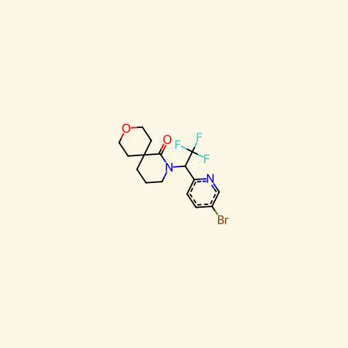 O=C1N(C(c2ccc(Br)cn2)C(F)(F)F)CCCC12CCOCC2